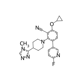 Cn1cnnc1C1CCN(c2c(-c3ccc(F)nc3)ccc(OC3CC3)c2C#N)CC1